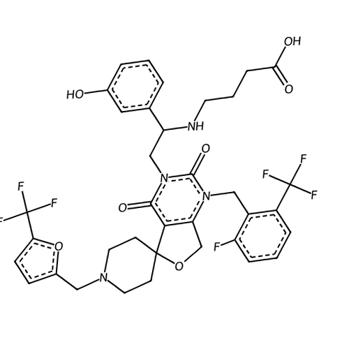 O=C(O)CCCNC(Cn1c(=O)c2c(n(Cc3c(F)cccc3C(F)(F)F)c1=O)COC21CCN(Cc2ccc(C(F)(F)F)o2)CC1)c1cccc(O)c1